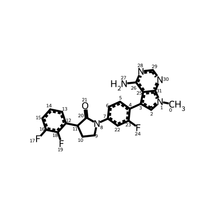 Cn1cc(-c2ccc(N3CCC(c4cccc(F)c4F)C3=O)cc2F)c2c(N)ncnc21